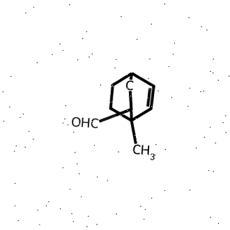 CC12C=CC(CC1)CC2C=O